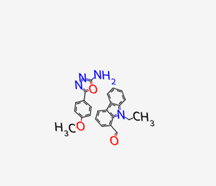 CCn1c2ccccc2c2cccc(C=O)c21.COc1ccc(-c2nnc(N)o2)cc1